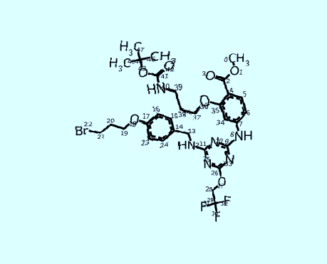 COC(=O)c1ccc(Nc2nc(NCc3ccc(OCCCBr)cc3)nc(OCC(F)(F)F)n2)cc1OCCCNC(=O)OC(C)(C)C